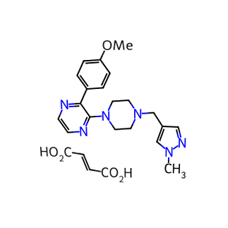 COc1ccc(-c2nccnc2N2CCN(Cc3cnn(C)c3)CC2)cc1.O=C(O)C=CC(=O)O